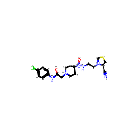 N#CC1CSCN1CCN[NH+]([O-])C1CCN(CC(=O)Nc2ccc(Cl)cc2)CC1